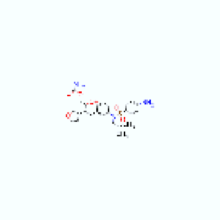 CC(C)CN(c1cccc(CC(C(O)COC(N)=O)C2CCOC2)c1)S(=O)(=O)c1ccc(N)cc1